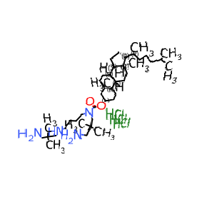 CC(C)CCC[C@@H](C)[C@H]1CC[C@H]2[C@@H]3CC=C4C[C@@H](OC(=O)N(CCCCNCC(C)(C)CN)CC(C)(C)CN)CC[C@]4(C)[C@H]3CC[C@]12C.Cl.Cl.Cl